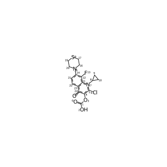 O=C(O)Oc1c(Cl)n(C2CC2)c2c(F)c(N3CCSCC3)ccc2c1=O